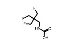 O=C(O)NCC(CF)(CF)CF